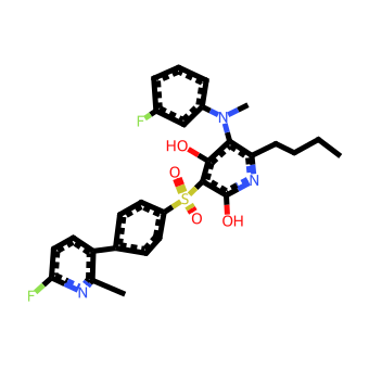 CCCCc1nc(O)c(S(=O)(=O)c2ccc(-c3ccc(F)nc3C)cc2)c(O)c1N(C)c1cccc(F)c1